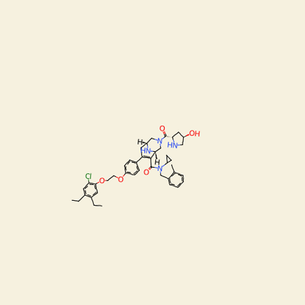 CCc1cc(Cl)c(OCCOc2ccc(C3=C(C(=O)N(Cc4ccccc4C)C4CC4)[C@H]4CN(C(=O)[C@@H]5C[C@@H](O)CN5)C[C@@H](C3)N4)cc2)cc1CC